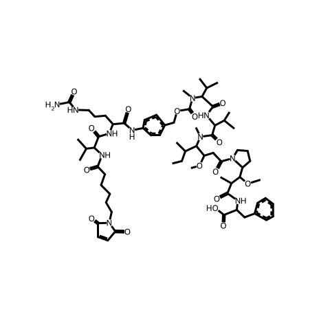 CCC(C)C(C(CC(=O)N1CCCC1C(OC)C(C)C(=O)NC(Cc1ccccc1)C(=O)O)OC)N(C)C(=O)C(NC(=O)C(C(C)C)N(C)C(=O)OCc1ccc(NC(=O)C(CCCNC(N)=O)NC(=O)C(NC(=O)CCCCCN2C(=O)C=CC2=O)C(C)C)cc1)C(C)C